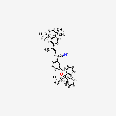 CC(=CCC(C#N)c1cccc(CO[Si](c2ccccc2)(c2ccccc2)C(C)(C)C)c1)c1ccc2c(c1)C(C)(C)CCC2(C)C